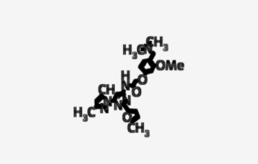 COc1cc(OCC(=O)Nc2cc(-n3nc(C)cc3C)nc(-c3ccc(C)o3)n2)ccc1CN(C)C